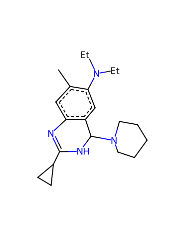 CCN(CC)c1cc2c(cc1C)N=C(C1CC1)NC2N1CCCCC1